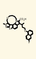 CCc1nn(C)c2c1-c1c(C)ccc3c(C(C)CCOc4cccc5cc(F)ccc45)c(C(=O)O)n(c13)CCCCOC2